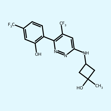 CC1(O)CC(Nc2cc(C(F)(F)F)c(-c3ccc(C(F)(F)F)cc3O)nn2)C1